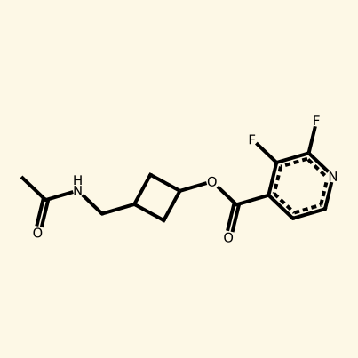 CC(=O)NCC1CC(OC(=O)c2ccnc(F)c2F)C1